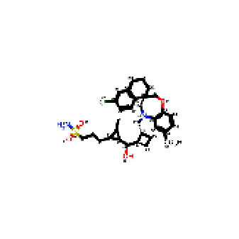 CC1C(CCCS(N)(=O)=O)C1[C@H](O)[C@@H]1CC[C@H]1CN1C[C@@]2(CCCc3cc(Cl)ccc32)COc2ccc(C(=O)O)cc21